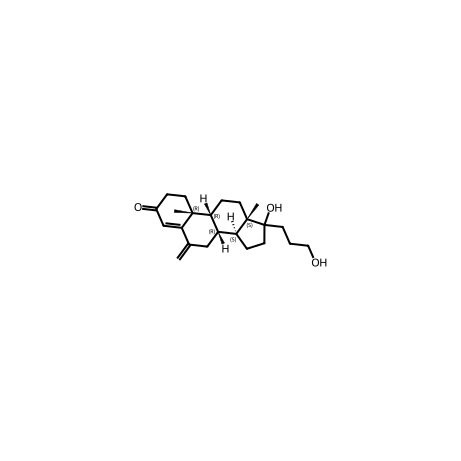 C=C1C[C@@H]2[C@@H](CC[C@@]3(C)[C@H]2CCC3(O)CCCO)[C@@]2(C)CCC(=O)C=C12